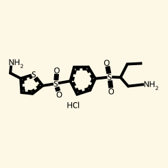 CCC(CN)S(=O)(=O)c1ccc(S(=O)(=O)c2ccc(CN)s2)cc1.Cl